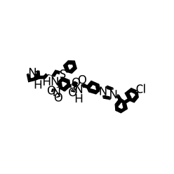 O=C(NS(=O)(=O)c1ccc(N[C@H](CCC2C[N@]3CC[C@@H]2C3)CSc2ccccc2)c([N+](=O)[O-])c1)c1ccc(N2CCN(Cc3ccccc3-c3ccc(Cl)cc3)CC2)cc1